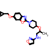 CC(CNc1ccon1)OC1CCN(c2nc3ccc(OCC4CC4)cc3o2)CC1